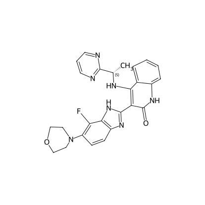 C[C@H](Nc1c(-c2nc3ccc(N4CCOCC4)c(F)c3[nH]2)c(=O)[nH]c2ccccc12)c1ncccn1